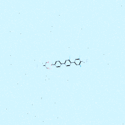 CC1COC(c2ccc(-c3ccc(-c4cc(F)c(C(F)(F)F)c(F)c4)c(F)c3)cc2)OC1